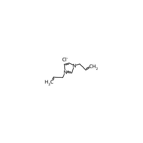 C=CCn1cc[n+](CC=C)c1.[Cl-]